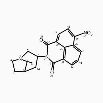 CC1C2CCN1CC(N1C(=O)c3cccc4c([N+](=O)[O-])ccc(c34)C1=O)C2